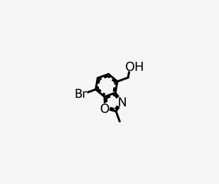 Cc1nc2c(CO)ccc(Br)c2o1